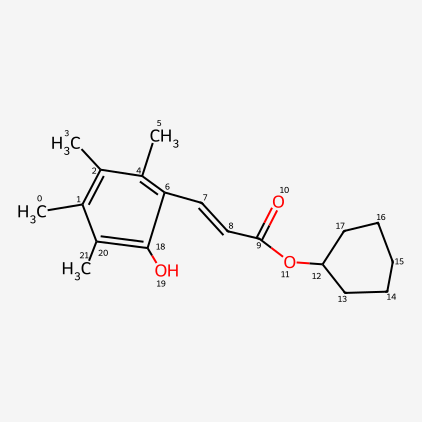 Cc1c(C)c(C)c(C=CC(=O)OC2CCCCC2)c(O)c1C